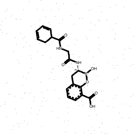 O=C(CNC(=O)C1C=CC=CC1)N[C@H]1Cc2cccc(C(=O)O)c2OB1O